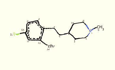 CN1CCC(CCc2ccc(F)cc2C(C)(C)C)CC1